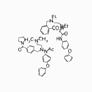 CC(=O)N(c1ccc(Oc2ccccc2)cc1)N(CCN(C)C)Cc1ccc(C(=O)N2CCCC2)cc1.CCN(CCN(CC)Cc1ccccc1C(=O)O)CC(=O)Nc1ccc(Oc2ccccc2)cc1